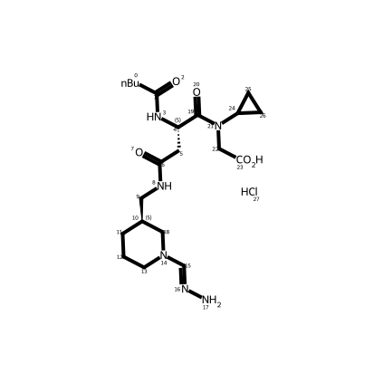 CCCCC(=O)N[C@@H](CC(=O)NC[C@@H]1CCCN(C=NN)C1)C(=O)N(CC(=O)O)C1CC1.Cl